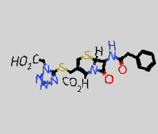 O=C(O)Cn1nnnc1SCC1=C(C(=O)O)N2C(=O)C(NC(=O)Cc3ccccc3)[C@H]2SC1